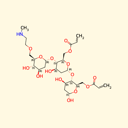 C=CC(=O)OC[C@H]1O[C@H](O[C@H]2[C@H](O)C[C@@H](O)O[C@@H]2COC(=O)C=C)C[C@@H](O)[C@@H]1O[C@@H]1C[C@@H](O)[C@H](O)[C@@H](COCCNC)O1